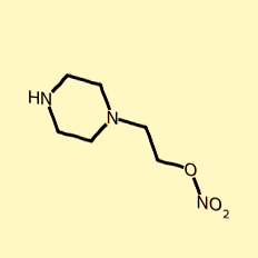 O=[N+]([O-])OCCN1CCNCC1